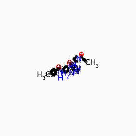 CC#CC(=O)N1CC[C@@H](n2c(=O)n(-c3ccc(NC(=O)c4ccc(C)cc4)cc3)c3c(N)ncnc32)C1